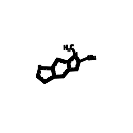 Cn1c(C(C)(C)C)cc2cc3ccsc3cc21